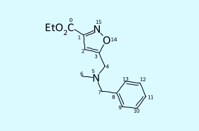 CCOC(=O)c1cc(CN(C)Cc2ccccc2)on1